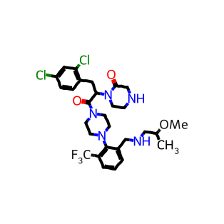 COC(C)CNCc1cccc(C(F)(F)F)c1N1CCN(C(=O)C(Cc2ccc(Cl)cc2Cl)N2CCNCC2=O)CC1